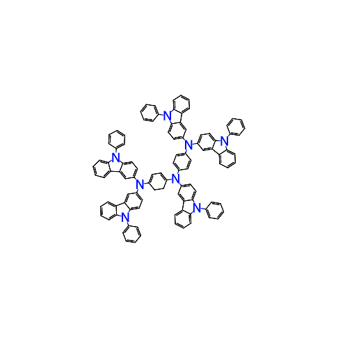 C1=C(N(c2ccc(N(c3ccc4c(c3)c3ccccc3n4-c3ccccc3)c3ccc4c(c3)c3ccccc3n4-c3ccccc3)cc2)c2ccc3c(c2)c2ccccc2n3-c2ccccc2)CCC(N(c2ccc3c(c2)c2ccccc2n3-c2ccccc2)c2ccc3c(c2)c2ccccc2n3-c2ccccc2)=C1